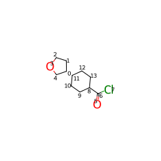 C1CCOC1.O=C(Cl)C1CCCCC1